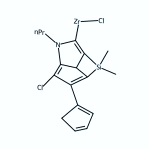 CCCN1[C]([Zr][Cl])=C2C3C1=C(Cl)C(C1=CC=CC1)=C3[Si]2(C)C